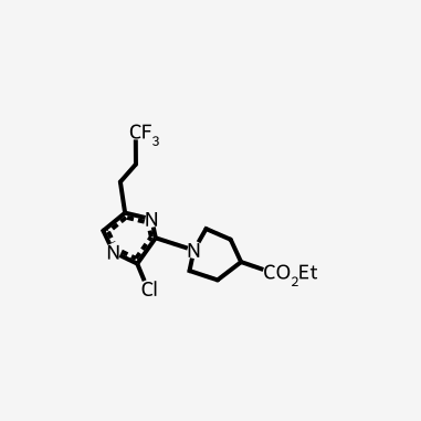 CCOC(=O)C1CCN(c2nc(CCC(F)(F)F)cnc2Cl)CC1